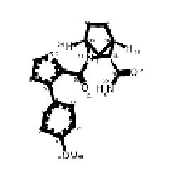 COc1ccc(-c2ccsc2C(=O)N2[C@@H]3CC[C@@H](C3)[C@H]2C(N)=O)cc1